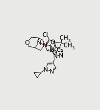 CC(C)(C)OC(=O)N1CC2COCC(C1)N2c1cc2c(cnn2-c2cnn(C3CC3)c2)cc1Cl